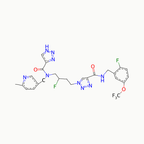 Cc1ccc(CN(CC(F)CCn2cc(C(=O)NCc3cc(OC(F)(F)F)ccc3F)nn2)C(=O)c2c[nH]nn2)cn1